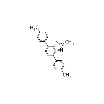 Cc1ccc(-c2ccc(-c3ccc(C)cc3)c3nn(C)nc23)cc1